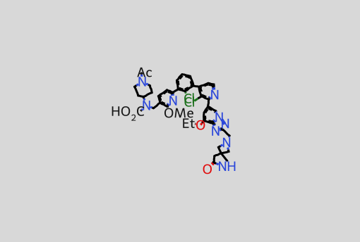 CCOc1cc(-c2nccc(-c3cccc(-c4ccc(CN(C(=O)O)C5CCN(C(C)=O)CC5)c(OC)n4)c3Cl)c2Cl)cn2nc(CN3CC4(CNC(=O)C4)C3)nc12